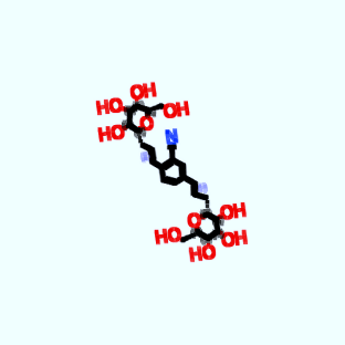 N#Cc1cc(/C=C/C[C@H]2O[C@H](CO)[C@@H](O)[C@H](O)[C@@H]2O)ccc1/C=C/C[C@H]1O[C@H](CO)[C@@H](O)[C@H](O)[C@@H]1O